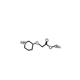 CC(C)(C)OC(=O)CO[C@H]1CCCNC1